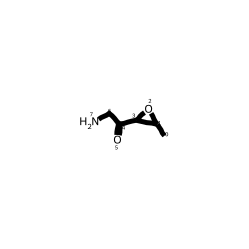 CC1OC1C(=O)CN